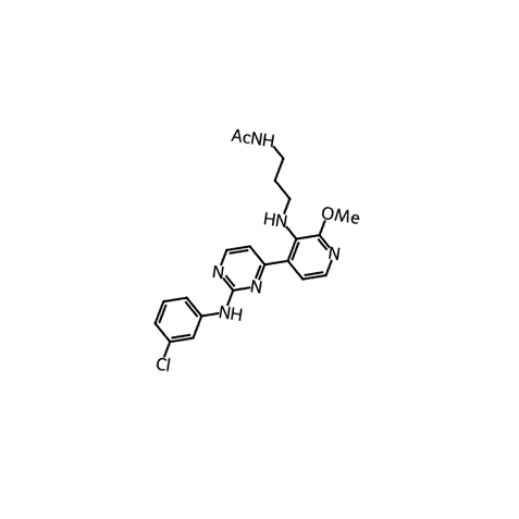 COc1nccc(-c2ccnc(Nc3cccc(Cl)c3)n2)c1NCCCNC(C)=O